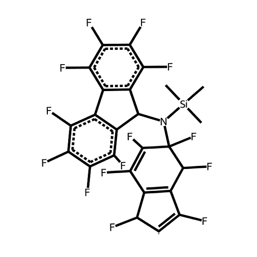 C[Si](C)(C)N(C1c2c(F)c(F)c(F)c(F)c2-c2c(F)c(F)c(F)c(F)c21)C1(F)C(F)=C(F)C2=C(C(F)=[C]C2F)C1F